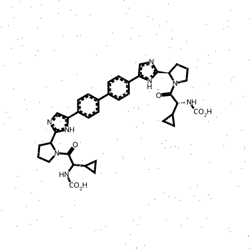 O=C(O)NC(C(=O)N1CCCC1c1ncc(-c2ccc(-c3ccc(-c4cnc([C@H]5CCCN5C(=O)[C@H](NC(=O)O)C5CC5)[nH]4)cc3)cc2)[nH]1)C1CC1